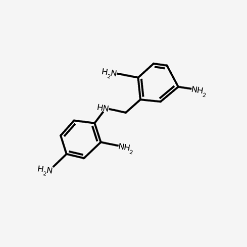 Nc1ccc(NCc2cc(N)ccc2N)c(N)c1